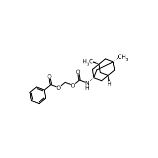 C[C@]12C[C@@H]3C[C@](C)(C1)C[C@@](NC(=O)OCOC(=O)c1ccccc1)(C3)C2